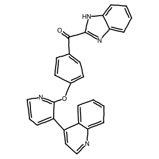 O=C(c1ccc(Oc2ncccc2-c2ccnc3ccccc23)cc1)c1nc2ccccc2[nH]1